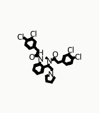 CN(C(=O)Cc1ccc(Cl)c(Cl)c1)C(CN1CCCC1)c1ccccc1NC(=O)Cc1ccc(Cl)c(Cl)c1